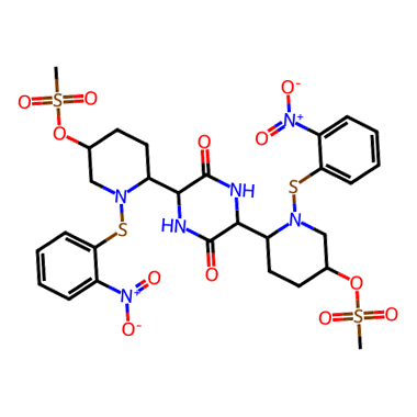 CS(=O)(=O)OC1CCC(C2NC(=O)C(C3CCC(OS(C)(=O)=O)CN3Sc3ccccc3[N+](=O)[O-])NC2=O)N(Sc2ccccc2[N+](=O)[O-])C1